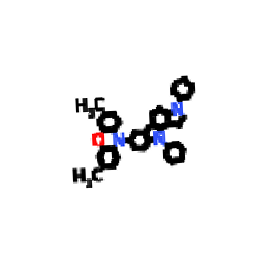 Cc1ccc2c(c1)Oc1cc(C)ccc1N2c1ccc2c(c1)c1ccc3c(ccn3-c3ccccc3)c1n2-c1ccccc1